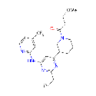 COCCC(=O)N1CCCC(c2cc(Nc3cc(C(F)(F)F)ccn3)nc(CC(C)C)n2)C1